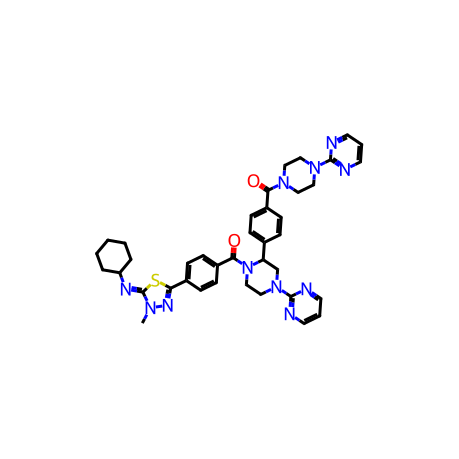 Cn1nc(-c2ccc(C(=O)N3CCN(c4ncccn4)CC3c3ccc(C(=O)N4CCN(c5ncccn5)CC4)cc3)cc2)sc1=NC1CCCCC1